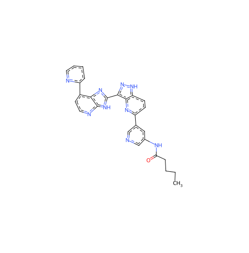 CCCCC(=O)Nc1cncc(-c2ccc3[nH]nc(-c4nc5c(-c6ccccn6)ccnc5[nH]4)c3n2)c1